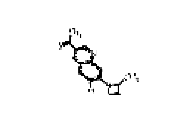 CC(=S)c1cnc2cc(N3CCC3C)c(Cl)cc2c1